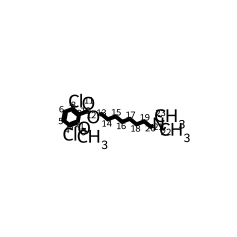 COc1c(Cl)ccc(Cl)c1C(=O)OCCCCCCCCN(C)C